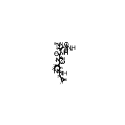 CNS(=O)(=O)c1nn(C)cc1NC(=O)c1coc(-c2ccnc(NCC3CC3)c2)n1